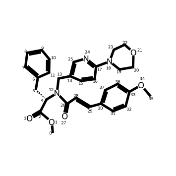 COC(=O)[C@H](Cc1ccccc1)N(Cc1ccc(N2CCOCC2)nc1)C(=O)C=Cc1ccc(OC)cc1